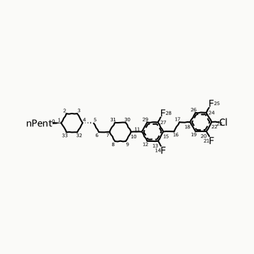 CCCCC[C@H]1CC[C@H](CCC2CCC(c3cc(F)c(CCc4cc(F)c(Cl)c(F)c4)c(F)c3)CC2)CC1